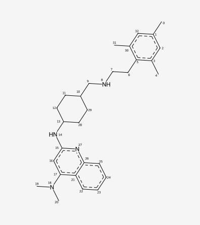 Cc1cc(C)c(CCNCC2CCC(Nc3cc(N(C)C)c4ccccc4n3)CC2)c(C)c1